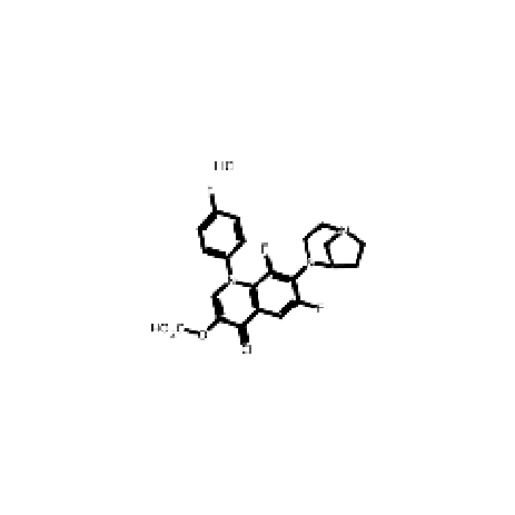 Cl.O=C(O)Oc1cn(-c2ccc(F)cc2)c2c(F)c(N3CCN4CCC3C4)c(F)cc2c1=O